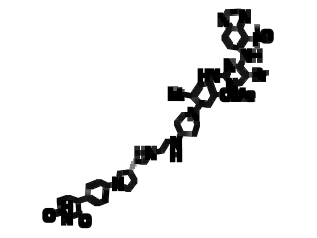 CCc1cc(Nc2ncc(Br)c(Nc3ccc4nccnc4c3P(C)(C)=O)n2)c(OC)cc1N1CCC(NCCNCC[C@@H]2CCN(c3ccc(C4CCC(=O)NC4=O)cc3)C2)CC1